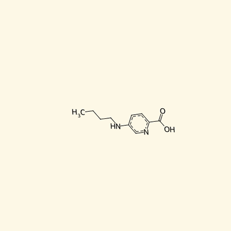 CCCCNc1ccc(C(=O)O)nc1